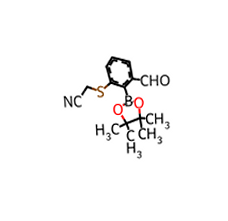 CC1(C)OB(c2c(C=O)cccc2SCC#N)OC1(C)C